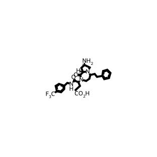 N[C@@H]1C[C@H]2C(=O)N(C(CCC(=O)O)C(=O)NCc3ccc(C(F)(F)F)cc3)CCC(CCc3ccccc3)N2C1